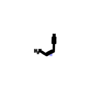 N#C/C=C\N